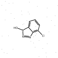 On1nnc2c(Cl)cccc21